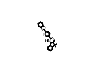 CC1(C)C2=CN=C(c3ccc(-c4nc5ccccc5s4)nc3)NC2c2ccccc21